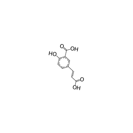 O=C(O)C=Cc1ccc(O)c(C(=O)O)c1